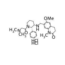 COc1cc2c(cc1CNC1CCCN(C(=O)CN(C)C)[C@H]1c1ccccc1)N(C)C(=O)CC2.Cl.Cl